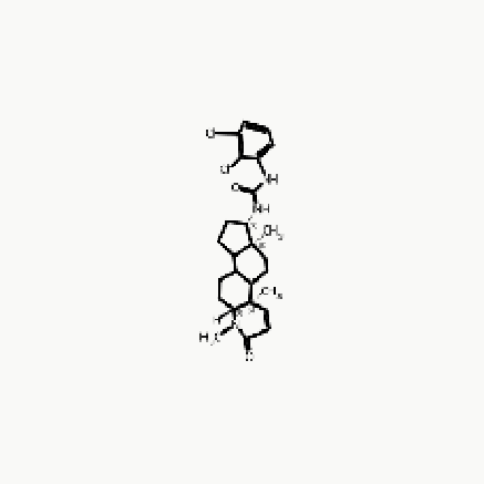 CN1C(=O)C=C[C@]2(C)C3CC[C@@]4(C)C(CC[C@@H]4NC(=O)Nc4cccc(Cl)c4Cl)C3CC[C@@H]12